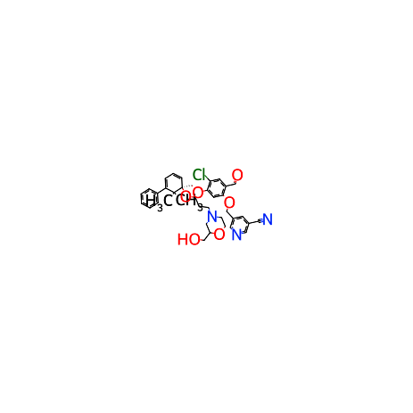 CC1(C)C(c2ccccc2)=CC=C[C@@]1(COc1cc(OCc2cncc(C#N)c2)c(C=O)cc1Cl)OCCCN1CCOC(CO)C1